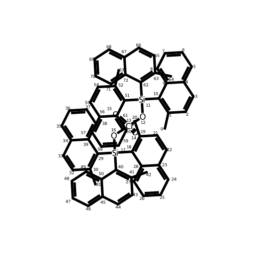 Cc1ccc2ccccc2c1[Si]([O][Cr](=[O])(=[O])[O][Si](c1c(C)ccc2ccccc12)(c1c(C)ccc2ccccc12)c1c(C)ccc2ccccc12)(c1c(C)ccc2ccccc12)c1c(C)ccc2ccccc12